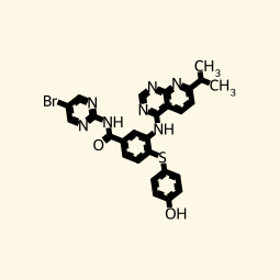 CC(C)c1ccc2c(Nc3cc(C(=O)Nc4ncc(Br)cn4)ccc3Sc3ccc(O)cc3)ncnc2n1